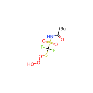 CC(C)(C)C(=O)NS(=O)(=O)C(F)(F)SOOO